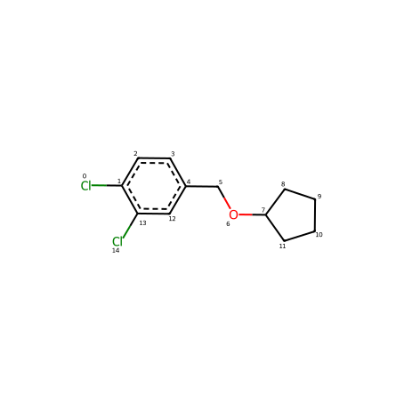 Clc1ccc(COC2CCCC2)cc1Cl